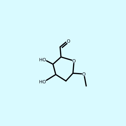 COC1CC(O)C(O)C(C=O)O1